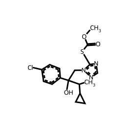 COC(=O)Sc1ncnn1CC(O)(c1ccc(Cl)cc1)C(C)C1CC1